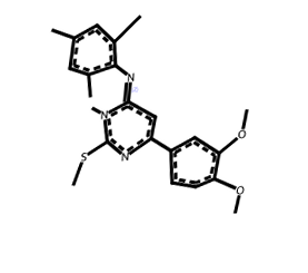 COc1ccc(-c2c/c(=N/c3c(C)cc(C)cc3C)n(C)c(SC)n2)cc1OC